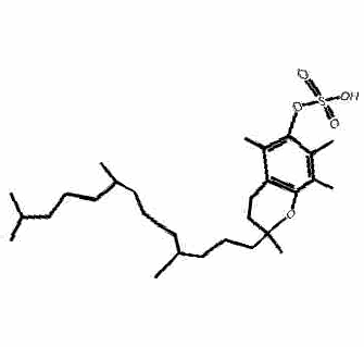 Cc1c(C)c2c(c(C)c1OS(=O)(=O)O)CCC(C)(CCCC(C)CCCC(C)CCCC(C)C)O2